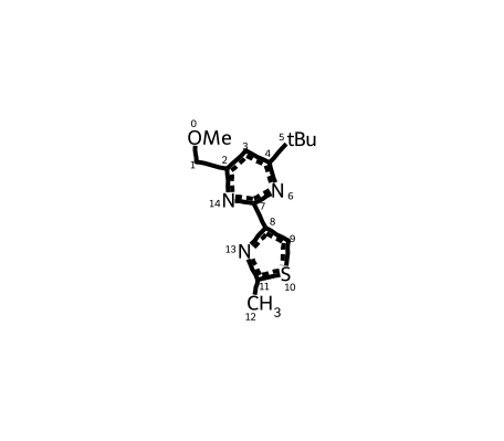 COCc1cc(C(C)(C)C)nc(-c2csc(C)n2)n1